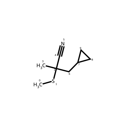 CSC(C)(C#N)CC1CC1